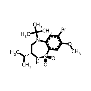 COc1cc2c(cc1Br)N(C(C)(C)C)C[C@@H](C(C)C)NS2(=O)=O